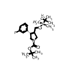 CC(C)(C)OC(=O)N1CC(CO[Si](C)(C)C(C)(C)C)[C@@H](c2cccc(F)c2)C1